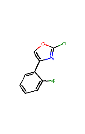 Fc1ccccc1-c1coc(Cl)n1